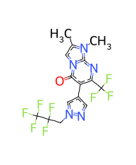 Cc1cn2c(=O)c(-c3cnn(CC(F)(F)C(F)(F)F)c3)c(C(F)(F)F)nc2n1C